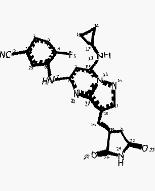 N#Cc1ccc(F)c(Nc2cc(NC3CC3)n3ncc(/C=C4\CC(=O)NC4=O)c3n2)c1